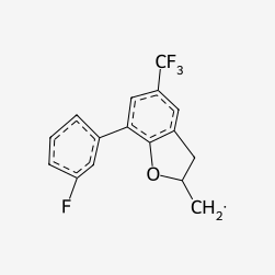 [CH2]C1Cc2cc(C(F)(F)F)cc(-c3cccc(F)c3)c2O1